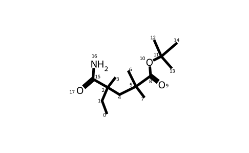 CCC(C)(CC(C)(C)C(=O)OC(C)(C)C)C(N)=O